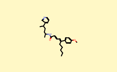 CCCCC/C(=C\C=C\C(=O)NC(C)CCC(C)c1cccnc1)c1ccc(OC)cc1